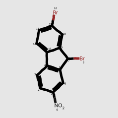 O=[N+]([O-])c1ccc2c(c1)C(Br)c1cc(Br)ccc1-2